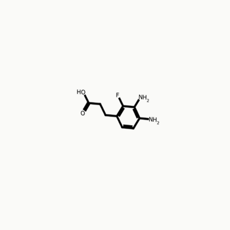 Nc1ccc(CCC(=O)O)c(F)c1N